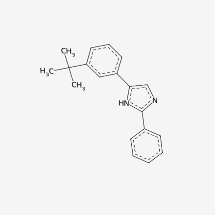 CC(C)(C)c1cccc(-c2cnc(-c3ccccc3)[nH]2)c1